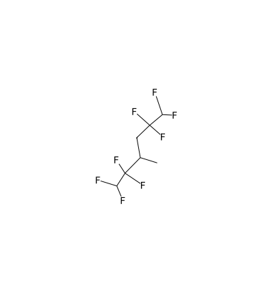 CC(CC(F)(F)C(F)F)C(F)(F)C(F)F